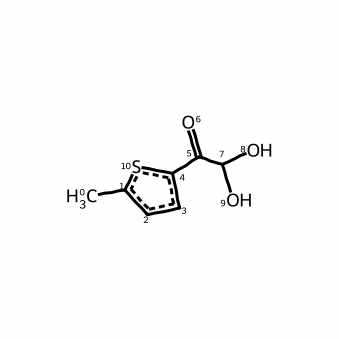 Cc1ccc(C(=O)C(O)O)s1